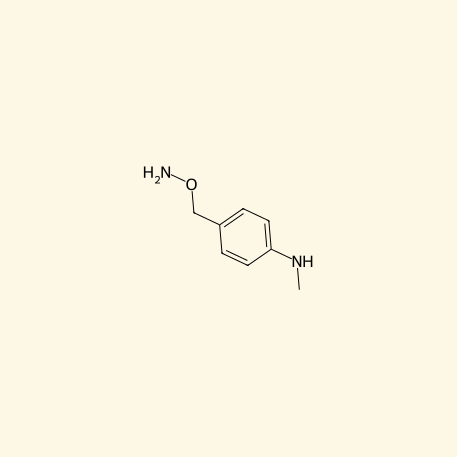 CNc1ccc(CON)cc1